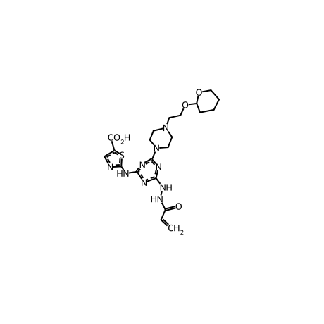 C=CC(=O)NNc1nc(Nc2ncc(C(=O)O)s2)nc(N2CCN(CCOC3CCCCO3)CC2)n1